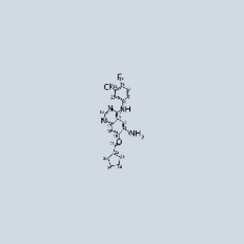 Nc1cc2c(Nc3ccc(F)c(Cl)c3)ncnc2cc1OCC1CCCC1